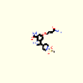 CCS(=O)(=O)N1CCC(c2c[nH]c3c(C(N)=O)cc(OCCCC(N)=O)cc23)CC1